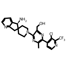 Cc1nc(N2CCC3(CC2)Cc2ncccc2[C@H]3N)c(CO)nc1-c1ccnc(C(F)(F)F)c1Cl